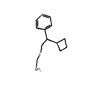 NCCCC(c1ccccc1)C1CCC1